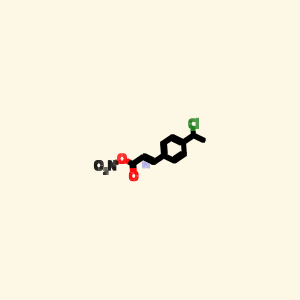 CC(Cl)c1ccc(/C=C/C(=O)O[N+](=O)[O-])cc1